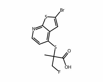 CC(CF)(Sc1ccnc2sc(Br)cc12)C(=O)O